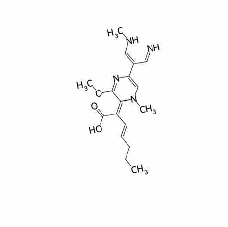 CCC/C=C/C(C(=O)O)=C1/C(OC)=NC(/C(C=N)=C/NC)=CN1C